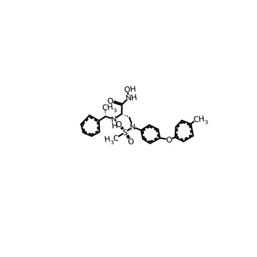 Cc1ccc(Oc2ccc(N(C[C@H](N[C@@H](C)c3ccccc3)C(=O)NO)S(C)(=O)=O)cc2)cc1